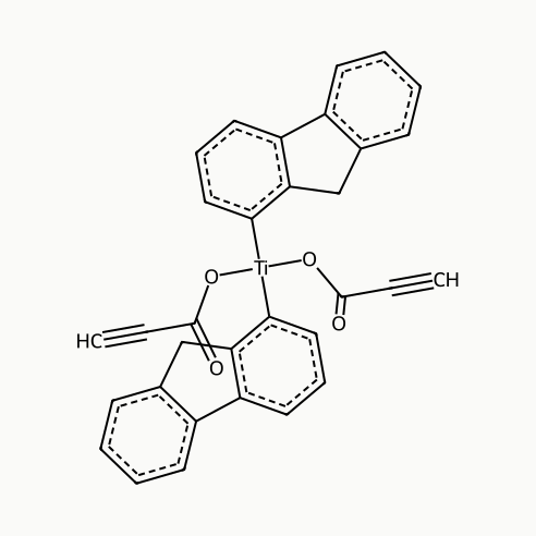 C#CC(=O)[O][Ti]([O]C(=O)C#C)([c]1cccc2c1Cc1ccccc1-2)[c]1cccc2c1Cc1ccccc1-2